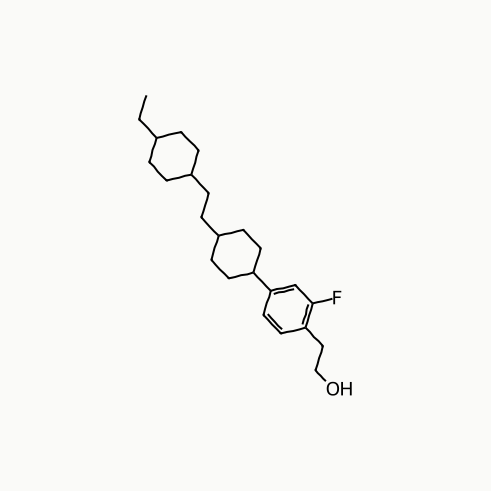 CCC1CCC(CCC2CCC(c3ccc(CCO)c(F)c3)CC2)CC1